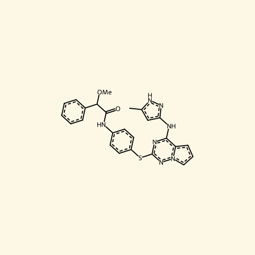 COC(C(=O)Nc1ccc(Sc2nc(Nc3cc(C)[nH]n3)c3cccn3n2)cc1)c1ccccc1